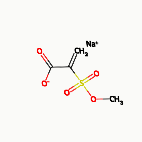 C=C(C(=O)[O-])S(=O)(=O)OC.[Na+]